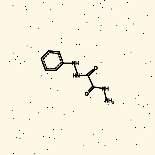 NNC(=O)C(=O)NNc1ccccc1